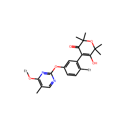 CCOc1nc(Oc2ccc(CC)c(C3=C(O)C(C)(C)OC(C)(C)C3=O)c2)ncc1C